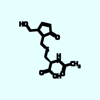 CC(=O)N[C@@H](CSCC1C(=O)C=CC1CO)C(=O)O